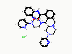 Cl.c1ccc(N2CCN(Cc3cccc(-c4cnc5ccccc5n4)c3CN3CCN(c4ccccn4)CC3)CC2)nc1